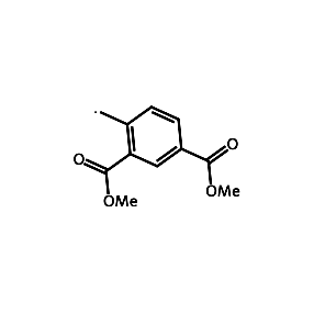 [CH2]c1ccc(C(=O)OC)cc1C(=O)OC